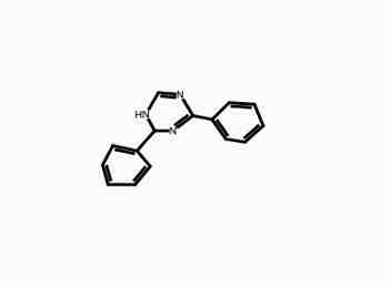 C1=NC(c2ccccc2)=N[C](c2ccccc2)N1